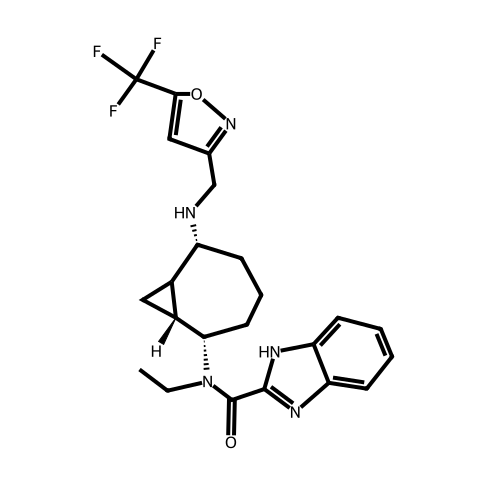 CCN(C(=O)c1nc2ccccc2[nH]1)[C@H]1CCC[C@@H](NCc2cc(C(F)(F)F)on2)C2C[C@H]21